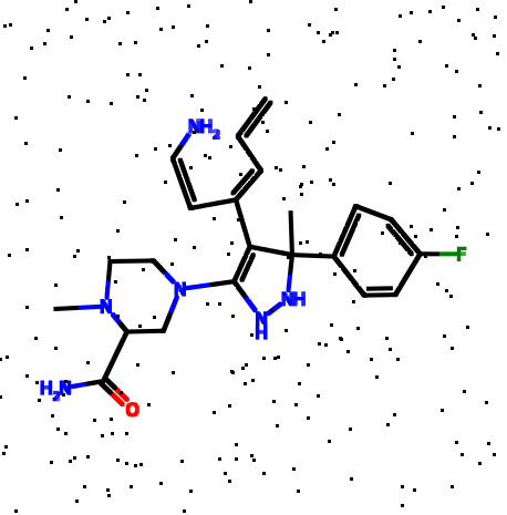 C=C/C=C(\C=C/N)C1=C(N2CCN(C)C(C(N)=O)C2)NNC1(C)c1ccc(F)cc1